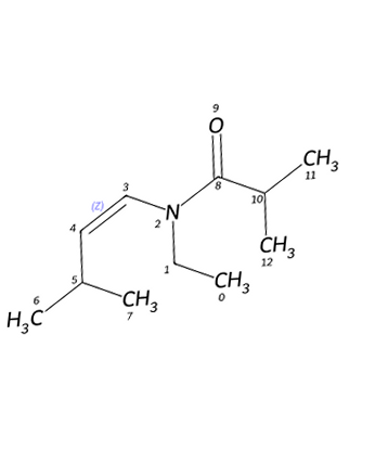 CCN(/C=C\C(C)C)C(=O)C(C)C